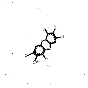 CC(=O)Oc1c(Cl)cc2c(c1Cl)Sc1cc(Cl)c(Cl)c(Cl)c1S2